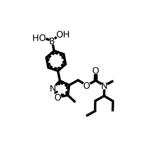 CCCC(CC)N(C)C(=O)OCc1c(-c2ccc(B(O)O)cc2)noc1C